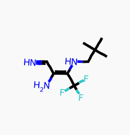 CC(C)(C)CN/C(=C(/N)C=N)C(F)(F)F